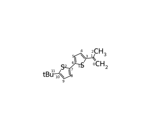 C=C(C)c1ccc(-c2ccc(C(C)(C)C)s2)s1